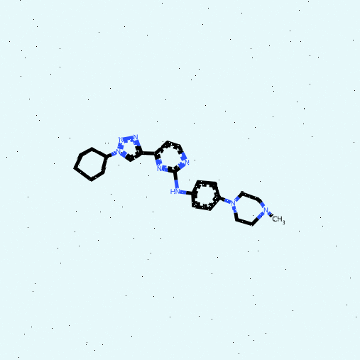 CN1CCN(c2ccc(Nc3nccc(-c4cn(C5CCCCC5)nn4)n3)cc2)CC1